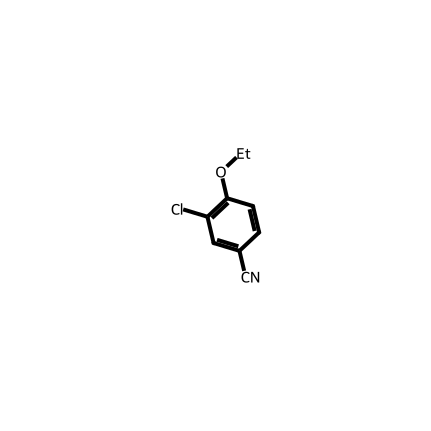 CCOc1ccc(C#N)cc1Cl